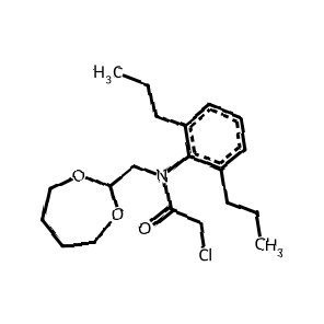 CCCc1cccc(CCC)c1N(CC1OCCCCO1)C(=O)CCl